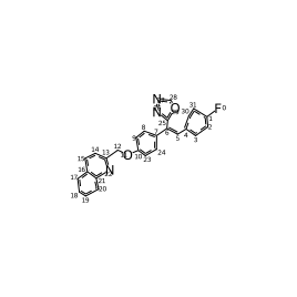 Fc1ccc(C=C(c2ccc(OCc3ccc4ccccc4n3)cc2)c2nnco2)cc1